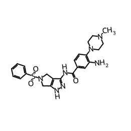 CN1CCN(c2ccc(C(=O)Nc3n[nH]c4c3CN(S(=O)(=O)c3ccccc3)C4)cc2N)CC1